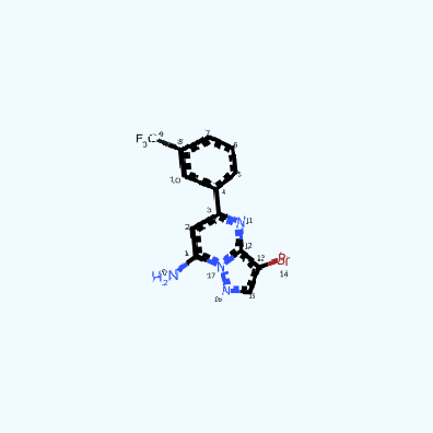 Nc1cc(-c2cccc(C(F)(F)F)c2)nc2c(Br)cnn12